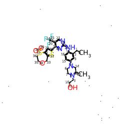 CCc1cc(N2CCN(CCO)[C@H](C)C2)ccc1Nc1ncc(C(F)(F)F)c(-c2cc3c(s2)COCCS3(=O)=O)n1